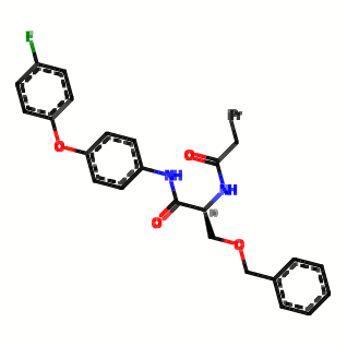 CC(C)CC(=O)N[C@@H](COCc1ccccc1)C(=O)Nc1ccc(Oc2ccc(F)cc2)cc1